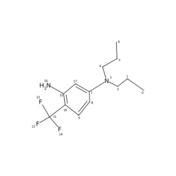 CCCN(CCC)c1ccc(C(F)(F)F)c(N)c1